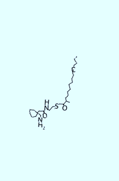 CCCCCCCCCCCCCCC(C)C(=O)CSCCNC(=O)CC1(CN)CCCCC1